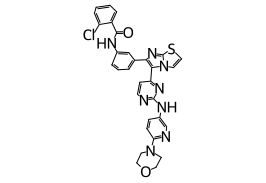 O=C(Nc1cccc(-c2nc3sccn3c2-c2ccnc(Nc3ccc(N4CCOCC4)nc3)n2)c1)c1ccccc1Cl